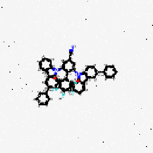 N#Cc1cc(-n2c3ccccc3c3cc(-c4ccccc4)ccc32)c(-c2c(F)c(F)c(F)c(F)c2F)c(-n2c3ccccc3c3cc(-c4ccccc4)ccc32)c1